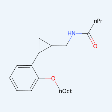 CCCCCCCCOc1ccccc1C1CC1CNC(=O)CCC